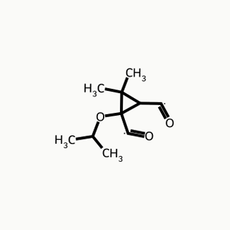 CC(C)OC1([C]=O)C([C]=O)C1(C)C